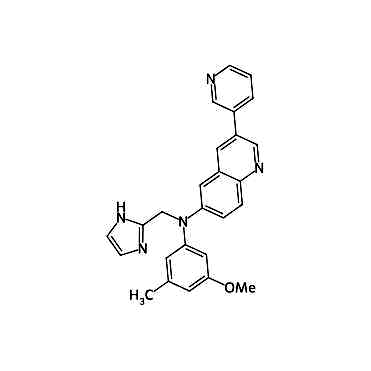 COc1cc(C)cc(N(Cc2ncc[nH]2)c2ccc3ncc(-c4cccnc4)cc3c2)c1